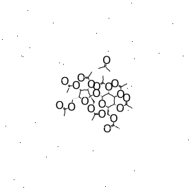 CC(=O)OC[C@H]1O[C@@](COC(C)=O)(O[C@H]2O[C@H](COC(C)=O)[C@@H](OC(C)=O)[C@H](OC(C)=O)[C@H]2OC(C)=O)[C@@H](OC(C)=O)[C@@H]1OC(C)=O.CC(C)=O